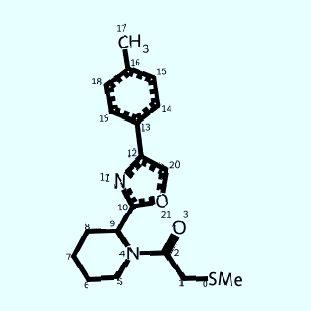 CSCC(=O)N1CCCCC1c1nc(-c2ccc(C)cc2)co1